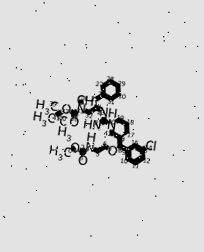 COC(=O)NCCO[C@@H](c1cccc(Cl)c1)[C@@H]1CCCN(C(=N)N[C@@H](CC2CCCCC2)CN(C)C(=O)OC(C)(C)C)C1